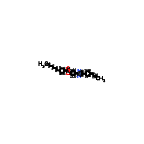 CCCCCCCC1CCC(C(=O)Oc2ccc(-c3ncc([C@H]4CC[C@H](CCCC)CC4)cn3)cc2)CC1